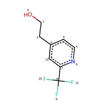 OC[CH]c1ccnc(C(F)(F)F)c1